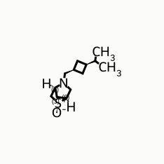 CC(C)[C@H]1C[C@@H](CN2C[C@@H]3C[C@H]2C[S@@+]3[O-])C1